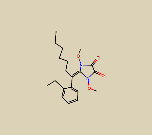 CCCCCCC(=C1N(OC)C(=O)C(=O)N1OC)c1ccccc1CC